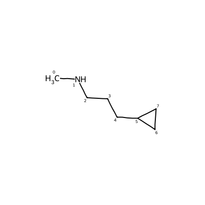 CNCCCC1CC1